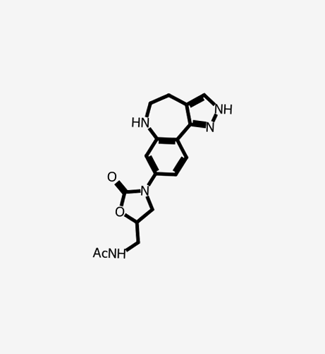 CC(=O)NCC1CN(c2ccc3c(c2)NCCc2c[nH]nc2-3)C(=O)O1